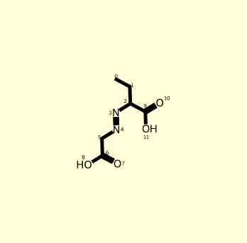 CCC(N=NCC(=O)O)C(=O)O